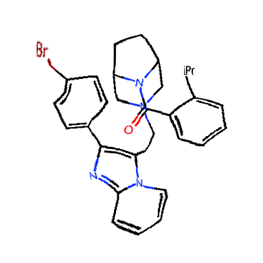 CC(C)c1ccccc1C(=O)N1C2CCC1CN(Cc1c(-c3ccc(Br)cc3)nc3ccccn13)C2